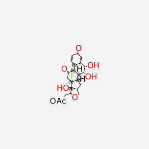 CC(=O)OCC(=O)[C@@]1(O)C(C)C[C@H]2[C@@H]3C(O)C(O)C4=CC(=O)C=C[C@]4(C)[C@@]3(F)C(=O)C[C@@]21C